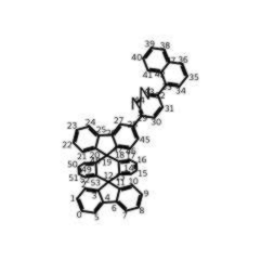 c1ccc2c(c1)-c1ccccc1C21c2ccccc2C2(c3ccccc3-c3cc(-c4ccc(-c5cccc6ccccc56)nn4)ccc32)c2ccccc21